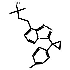 Cc1ccc(C2(c3nnc4c(CCC(C)(C)O)cccn34)CC2)cc1